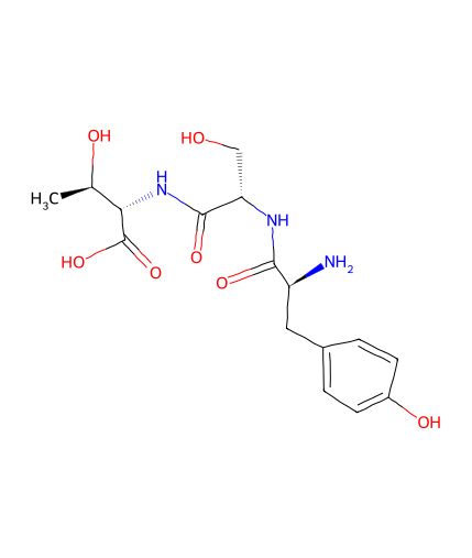 C[C@@H](O)[C@H](NC(=O)[C@H](CO)NC(=O)[C@@H](N)Cc1ccc(O)cc1)C(=O)O